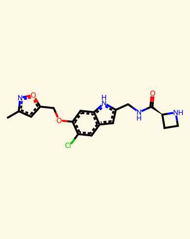 Cc1cc(COc2cc3[nH]c(CNC(=O)[C@@H]4CCN4)cc3cc2Cl)on1